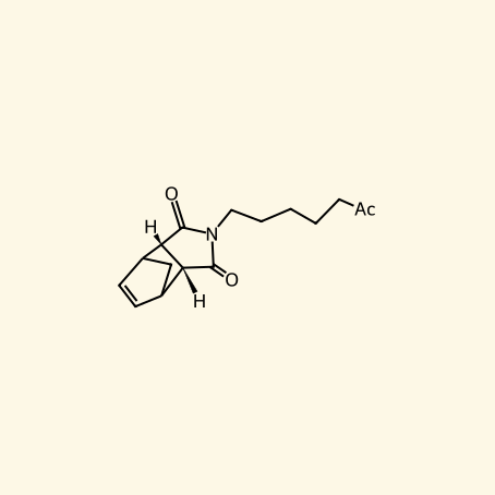 CC(=O)CCCCCN1C(=O)[C@@H]2C3C=CC(C3)[C@@H]2C1=O